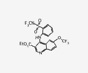 CCOC(=O)c1cnc2ccc(OC(F)(F)F)cc2c1Nc1ccccc1S(=O)(=O)NC(F)(F)F